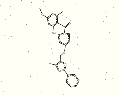 COc1cc(C)c(C(=O)c2ccc(OCc3nc(-c4ccccc4)oc3C)cc2)c(O)c1